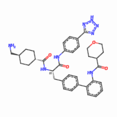 NC[C@H]1CC[C@H](C(=O)N[C@@H](Cc2ccc(-c3ccccc3NC(=O)C3CCOCC3)cc2)C(=O)Nc2ccc(-c3nn[nH]n3)cc2)CC1